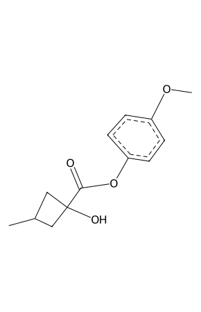 COc1ccc(OC(=O)C2(O)CC(C)C2)cc1